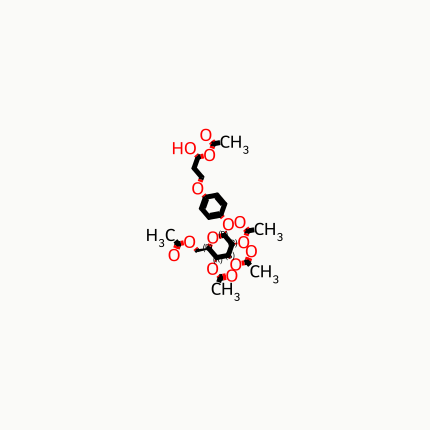 CC(=O)OC[C@H]1O[C@H](Oc2ccc(OCCC(O)OC(C)=O)cc2)[C@H](OC(C)=O)[C@@H](OC(C)=O)[C@@H]1OC(C)=O